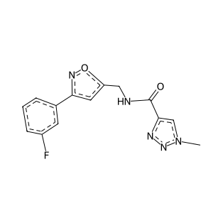 Cn1cc(C(=O)NCc2cc(-c3cccc(F)c3)no2)nn1